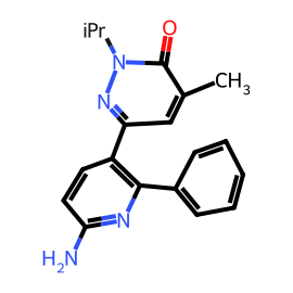 Cc1cc(-c2ccc(N)nc2-c2ccccc2)nn(C(C)C)c1=O